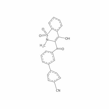 CN1C(C(=O)c2cccc(-c3ccc(C#N)cc3)c2)=C(O)c2ccccc2S1(=O)=O